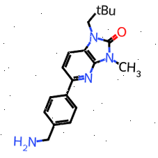 Cn1c(=O)n(CC(C)(C)C)c2ccc(-c3ccc(CN)cc3)nc21